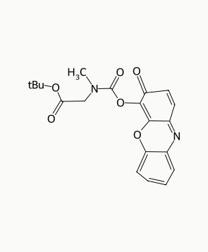 CN(CC(=O)OC(C)(C)C)C(=O)Oc1c2oc3ccccc3nc-2ccc1=O